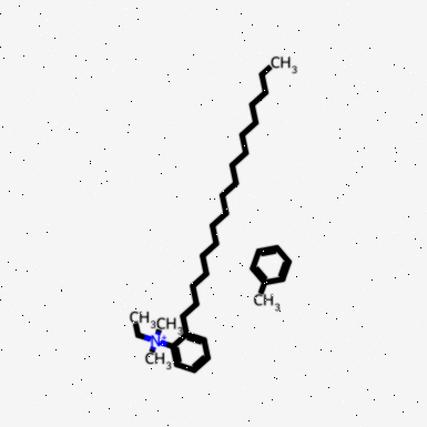 CCCCCCCCCCCCCCCCCCc1ccccc1[N+](C)(C)CC.Cc1ccccc1